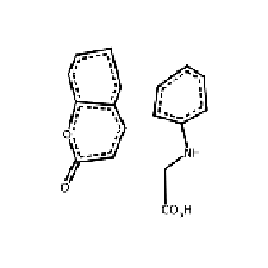 O=C(O)CNc1ccccc1.O=c1ccc2ccccc2o1